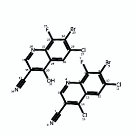 N#Cc1cnc2c(F)c(Br)c(Cl)cc2c1Cl.N#Cc1cnc2c(F)c(Br)c(Cl)cc2c1O